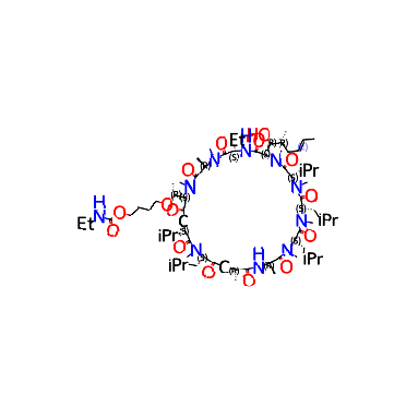 C/C=C/C[C@@H](C)[C@@H](O)[C@H]1C(=O)N[C@@H](CC)C(=O)N(C)[C@H](C)C(=O)N(C)[C@@H]([C@@H](C)OCCCCOC(=O)NCC)C(=O)C[C@@H](C(C)C)C(=O)N(C)[C@@H](CC(C)C)C(=O)C[C@@H](C)C(=O)N[C@H](C)C(=O)N(C)[C@@H](CC(C)C)C(=O)N(C)[C@@H](CC(C)C)C(=O)N(C)[C@@H](C(C)C)C(=O)N1C